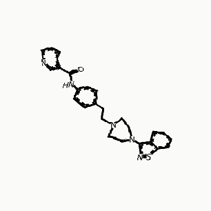 O=C(Nc1ccc(CCN2CCN(c3nsc4ccccc34)CC2)cc1)c1cccnc1